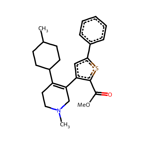 COC(=O)c1sc(-c2ccccc2)cc1C1=C(C2CCC(C)CC2)CCN(C)C1